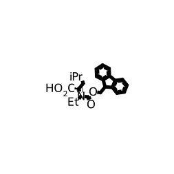 CCN(C(=O)OCC1c2ccccc2-c2ccccc21)[C@H](CC(C)C)C(=O)O